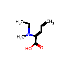 C=C/C=C(/C(=O)O)N(C)CC